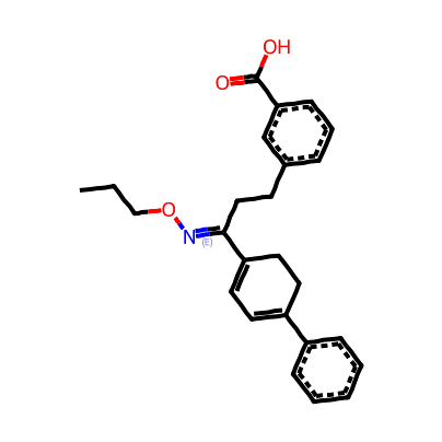 CCCO/N=C(\CCc1cccc(C(=O)O)c1)C1=CC=C(c2ccccc2)CC1